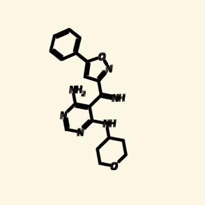 N=C(c1cc(-c2ccccc2)on1)c1c(N)ncnc1NC1CCOCC1